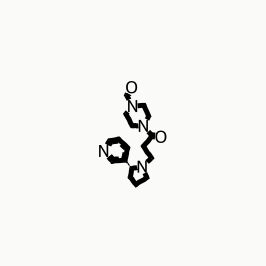 O=CN1CCN(C(=O)CCN2CCC[C@@H]2c2cccnc2)CC1